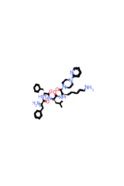 CC(C)C[C@@H](NC(=O)[C@@H](Cc1ccccc1)NC(=O)[C@H](N)Cc1ccccc1)C(=O)N[C@H](CCCCCN)C(=O)N1CCN(c2ccccn2)CC1